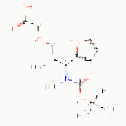 C[C@H](COCC(=O)O)[C@@H](c1ccco1)N(C)C(=O)OC(C)(C)C